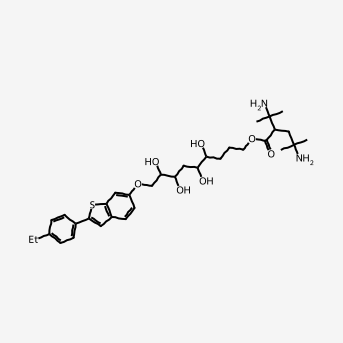 CCc1ccc(-c2cc3ccc(OCC(O)C(O)CC(O)C(O)CCCOC(=O)C(CC(C)(C)N)C(C)(C)N)cc3s2)cc1